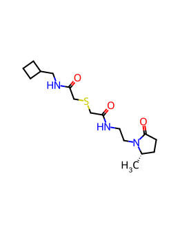 C[C@H]1CCC(=O)N1CCNC(=O)CSCC(=O)NCC1CCC1